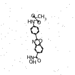 CS(=O)(=O)Nc1ccc(-c2nc3cc(C(=O)NO)ccc3o2)cc1